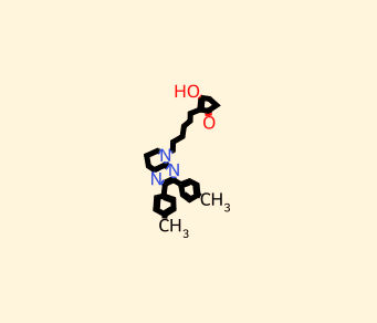 Cc1ccc(-c2nc3c(nc2-c2ccc(C)cc2)N(CCCCCCC2=C(O)CCC2=O)CCC3)cc1